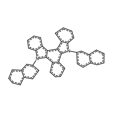 c1ccc2cc(-n3c4ccccc4c4c5c6ccccc6n(-c6ccc7ccccc7c6)c5c5ccccc5c43)ccc2c1